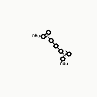 CCCCc1ccc(N(c2ccc(-c3ccc(-c4ccc(-n5c6ccccc6c6cc(CCCC)ccc65)cc4)cc3)cc2)c2ccccc2C)cc1